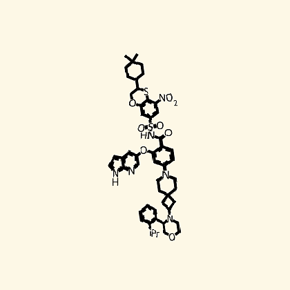 CC(C)c1ccccc1C1COCCN1C1CC2(CCN(c3ccc(C(=O)NS(=O)(=O)c4cc5c(c([N+](=O)[O-])c4)SC(C4CCC(C)(C)CC4)CO5)c(Oc4cnc5[nH]ccc5c4)c3)CC2)C1